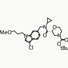 COCCCn1cc(Cl)c2ccc(CN(C(=O)[C@H]3CN(C(=O)OC(C)(C)C)CCO3)C3CC3)cc21